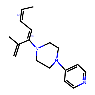 C=C(C)/C(=C\C=C/C)N1CCN(c2ccncc2)CC1